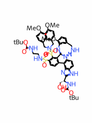 COc1ccc(CN(Cc2ccc(OC)cc2)S(=O)(=O)c2c(S(=O)(=O)NCCNC(=O)OC(C)(C)C)ccc(-c3cccc4[nH]c([C@@H](CO)NC(=O)OC(C)(C)C)nc34)c2C2=N/c3cc(ccc3OC)CN/N=N\2)cc1